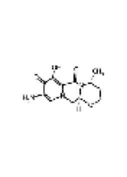 C[C@@H]1CCO[C@H]2Cn3cc(N)c(=O)c(O)c3C(=O)N12